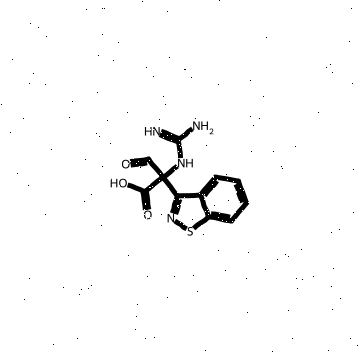 N=C(N)NC(C=O)(C(=O)O)c1nsc2ccccc12